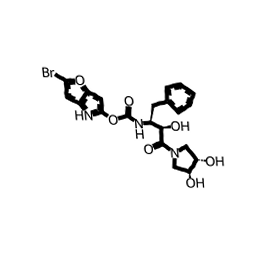 O=C(N[C@@H](Cc1ccccc1)[C@@H](O)C(=O)N1C[C@@H](O)[C@@H](O)C1)Oc1cc2oc(Br)cc2[nH]1